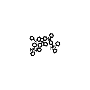 c1ccc(N(c2ccc(-c3nc4ccccc4n3-c3ccccc3)cc2)c2ccc3c(c2)C(c2ccccc2)(c2ccccc2)c2cc(N(c4ccccc4)c4ccc(-c5nc6ccccc6n5-c5ccccc5)cc4)ccc2-3)cc1